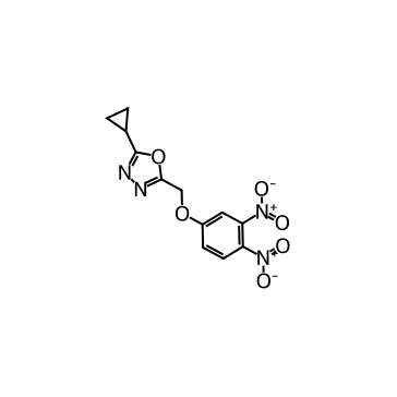 O=[N+]([O-])c1ccc(OCc2nnc(C3CC3)o2)cc1[N+](=O)[O-]